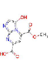 COC(=O)c1cc(C(=O)O)nc2ncc(O)n12